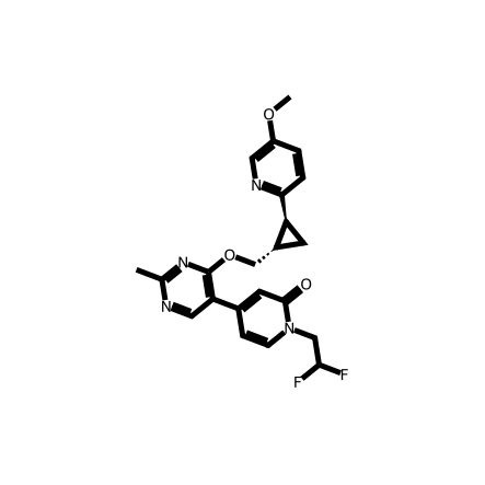 COc1ccc([C@H]2C[C@@H]2COc2nc(C)ncc2-c2ccn(CC(F)F)c(=O)c2)nc1